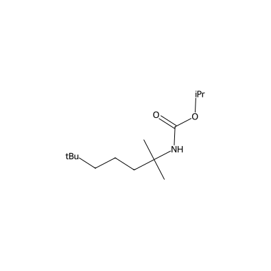 CC(C)OC(=O)NC(C)(C)CCCC(C)(C)C